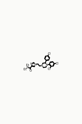 CCN(CC)C(=O)c1cn(CCN2CCN(c3ccc(Cl)cc3Cl)C(c3ccc(Cl)cc3)C2)cn1